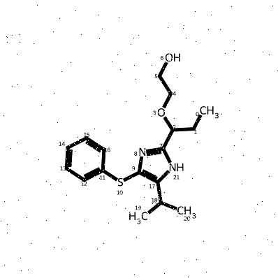 CCC(OCCO)c1nc(Sc2ccccc2)c(C(C)C)[nH]1